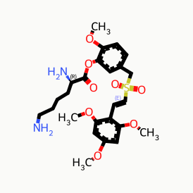 COc1cc(OC)c(/C=C/S(=O)(=O)Cc2ccc(OC)c(OC(=O)[C@H](N)CCCCN)c2)c(OC)c1